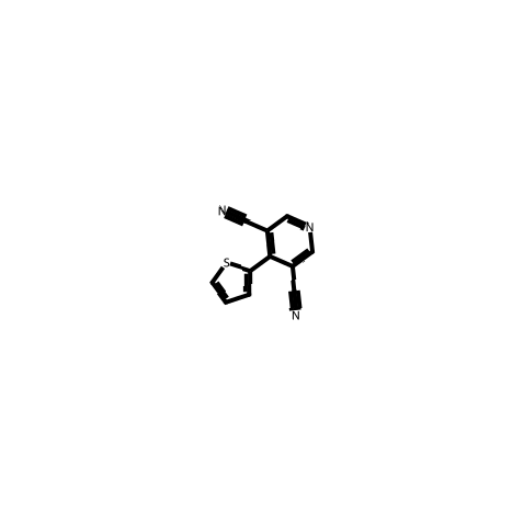 N#Cc1cncc(C#N)c1-c1cccs1